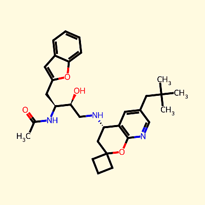 CC(=O)N[C@@H](Cc1cc2ccccc2o1)[C@@H](O)CN[C@H]1CC2(CCC2)Oc2ncc(CC(C)(C)C)cc21